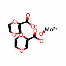 O=C([O-])C1=COC=CO1.O=C([O-])C1=COC=CO1.[O]=[Mo+2]